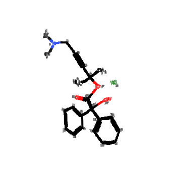 CCN(CC)CC#CC(C)(C)OC(=O)C(O)(c1ccccc1)c1ccccc1.Cl